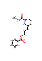 CC(C)(C)OC(=O)N1CCCC(CCCOC(=O)c2ccccc2)C1